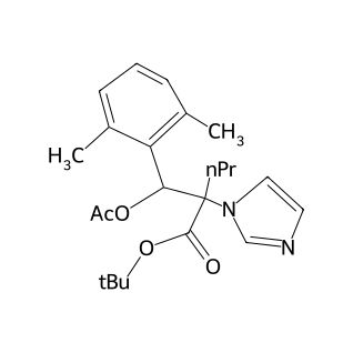 CCCC(C(=O)OC(C)(C)C)(C(OC(C)=O)c1c(C)cccc1C)n1ccnc1